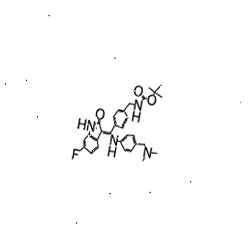 CN(C)Cc1ccc(NC(=C2C(=O)Nc3cc(F)ccc32)c2ccc(CNC(=O)OC(C)(C)C)cc2)cc1